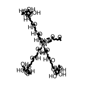 CC(=O)CCCC(=O)N1CCN(c2nc(NCCC(=O)NCCCNC(=O)CCCCOC3OC(CO)C(O)C(O)C3NC(C)=O)nc(N(CCC(=O)NCCCNC(=O)CCCCOC3OC(CO)C(O)C(O)C3NC(C)=O)CCC(=O)NCCCNC(=O)CCCCOC3OC(CO)C(O)C(O)C3NC(C)=O)n2)CC1